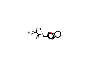 C=C(C)C(=O)OCC1CC2C3CCCCC3CC1C1CCCC12